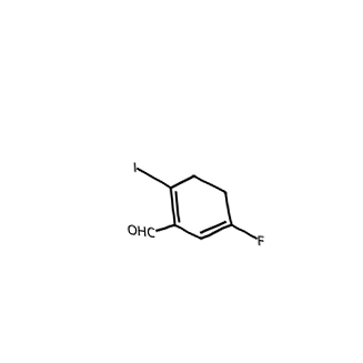 O=CC1=C(I)CCC(F)=C1